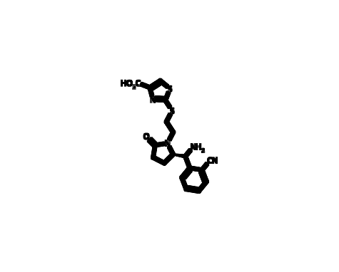 N#Cc1ccccc1C(N)[C@H]1CCC(=O)N1CCSc1nc(C(=O)O)cs1